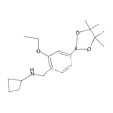 CCOc1cc(B2OC(C)(C)C(C)(C)O2)ccc1CNC1CCC1